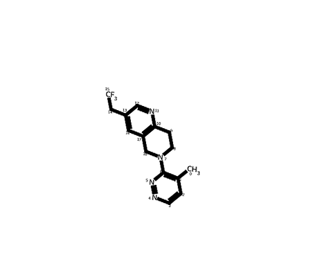 Cc1ccnnc1N1CCc2ncc(CC(F)(F)F)cc2C1